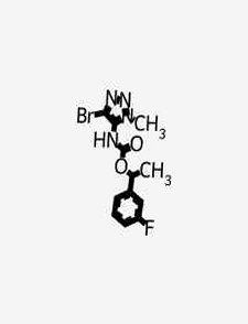 CC(OC(=O)Nc1c(Br)nnn1C)c1cccc(F)c1